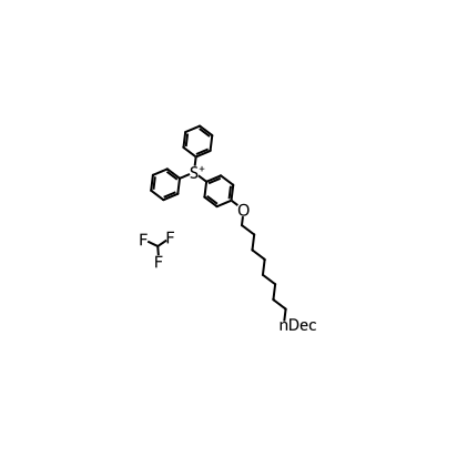 CCCCCCCCCCCCCCCCCCOc1ccc([S+](c2ccccc2)c2ccccc2)cc1.FC(F)F